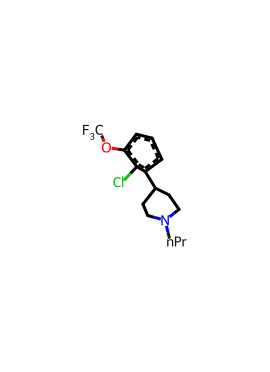 CCCN1CCC(c2cccc(OC(F)(F)F)c2Cl)CC1